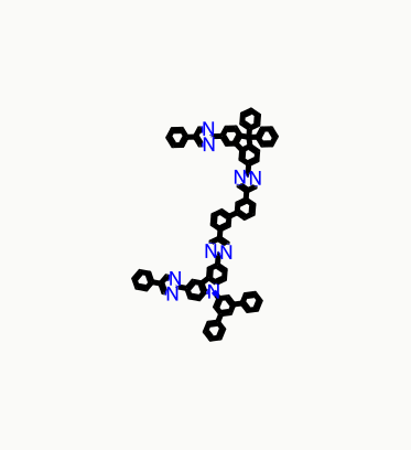 c1ccc(-c2cnc(-c3ccc4c(c3)-c3cc(-c5ncc(-c6cccc(-c7cccc(-c8cnc(-c9ccc%10c(c9)c9cc(-c%11ncc(-c%12ccccc%12)cn%11)ccc9n%10-c9cc(-c%10ccccc%10)cc(-c%10ccccc%10)c9)nc8)c7)c6)cn5)ccc3C4(c3ccccc3)c3ccccc3)nc2)cc1